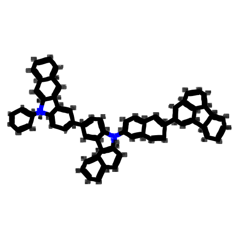 c1ccc(-n2c3ccc(-c4ccc5c(c4)c4c6ccccc6ccc4n5-c4ccc5cc(-c6cc7c8c(cccc8c6)-c6ccccc6-7)ccc5c4)cc3c3cc4ccccc4cc32)cc1